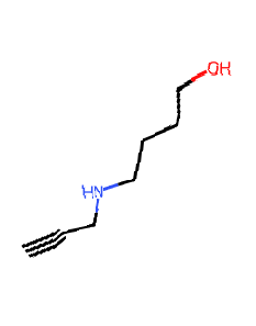 C#CCNCCCCO